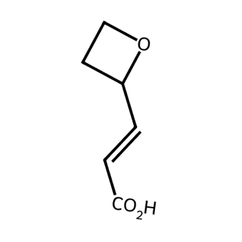 O=C(O)C=CC1CCO1